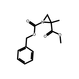 COC(=O)C1(C)CN1C(=O)OCc1ccccc1